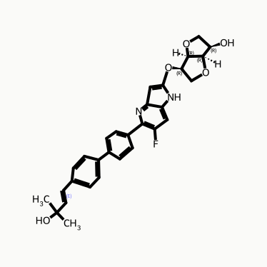 CC(C)(O)/C=C/c1ccc(-c2ccc(-c3nc4cc(O[C@@H]5CO[C@H]6[C@@H]5OC[C@H]6O)[nH]c4cc3F)cc2)cc1